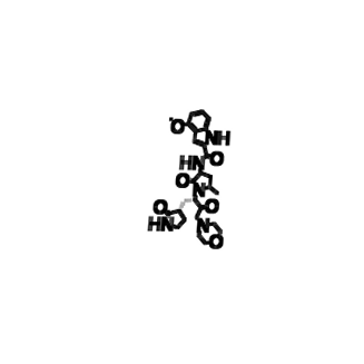 COc1cccc2[nH]c(C(=O)N[C@H]3CC(C)N([C@@H](C[C@@H]4CCNC4=O)C(=O)CN4CCOCC4)C3=O)cc12